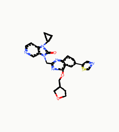 O=c1n(Cc2nc(OCC3CCOC3)c3cc(-c4cncs4)ccc3n2)c2cnccc2n1C1CC1